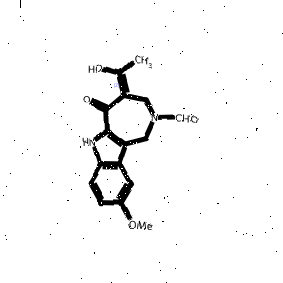 COc1ccc2[nH]c3c(c2c1)CN(C=O)C/C(=C(\C)O)C3=O